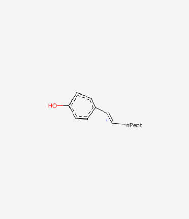 CCCCC/C=C/c1ccc(O)cc1